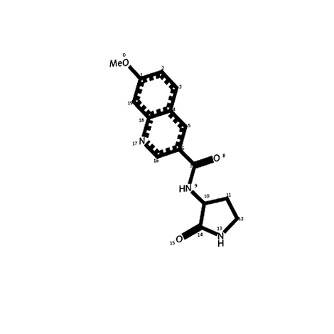 COc1ccc2cc(C(=O)NC3CCNC3=O)cnc2c1